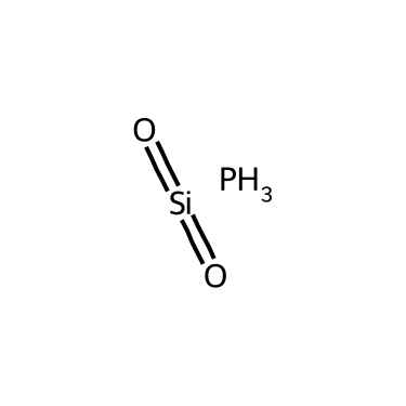 O=[Si]=O.P